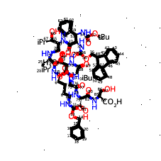 CC[C@H](C)[C@H](NC(=O)[C@@H](CCCCNC(=O)OCc1ccccc1)NC(=O)[C@H](CC(C)C)NC(=O)[C@@H](NC(=O)[C@@H](NC(=O)OCC1c2ccccc2-c2ccccc21)[C@H](NC(=O)OC(C)(C)C)c1ccccc1)[C@H](O)C(C)C)C(=O)N[C@H](C(=O)NCC(=O)N[C@@H](CO)C(=O)N[C@@H](CO)C(=O)O)[C@H](C)O